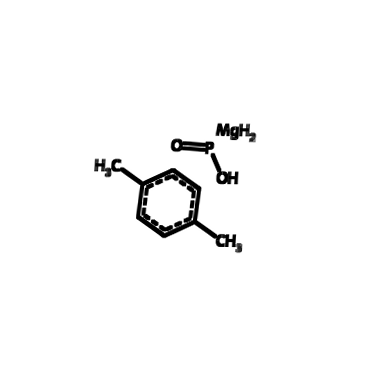 Cc1ccc(C)cc1.O=PO.[MgH2]